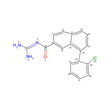 NC(N)=NC(=O)c1ccc2cccc(-c3ccccc3Cl)c2c1